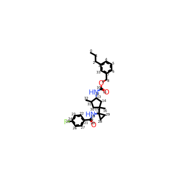 CCCc1cccc(COC(=O)N[C@H]2CC(C)(C3(NC(=O)c4ccc(F)cc4)CC3)CC2C)c1